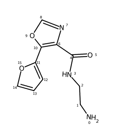 NCCNC(=O)c1ncoc1-c1ccco1